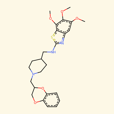 COc1cc2nc(NCC3CCN(CC4COc5ccccc5O4)CC3)sc2c(OC)c1OC